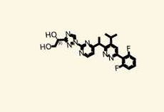 CC(C)c1cc(-c2c(F)cccc2F)nnc1C(C)c1ccnc(-n2cnc([C@@H](O)CO)n2)n1